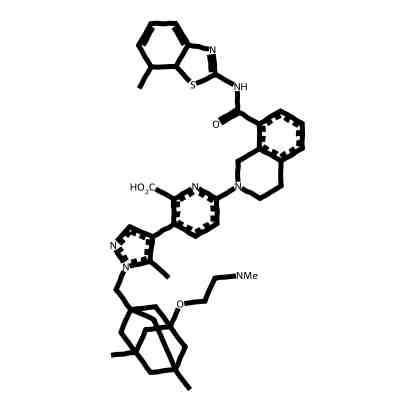 CNCCOC12CC3(C)CC(C)(CC(Cn4ncc(-c5ccc(N6CCc7cccc(C(=O)NC8=NC9=CC=CC(C)C9S8)c7C6)nc5C(=O)O)c4C)(C3)C1)C2